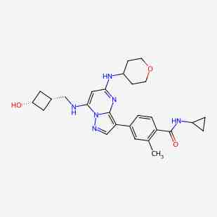 Cc1cc(-c2cnn3c(NC[C@H]4C[C@@H](O)C4)cc(NC4CCOCC4)nc23)ccc1C(=O)NC1CC1